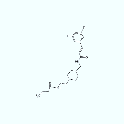 O=C(/C=C/c1cc(F)cc(F)c1)NCC1CCN(CCNC(=O)CCC(F)(F)F)CC1